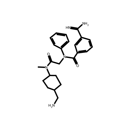 CN(C(=O)CN(C(=O)c1cccc(C(=N)N)c1)c1ccccc1)C1CCC(CN)CC1